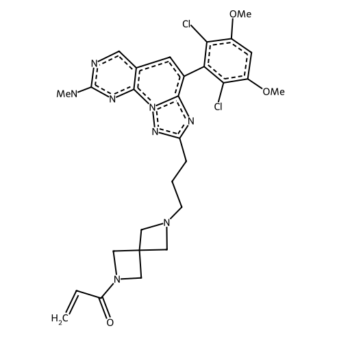 C=CC(=O)N1CC2(CN(CCCc3nc4c(-c5c(Cl)c(OC)cc(OC)c5Cl)cc5cnc(NC)nc5n4n3)C2)C1